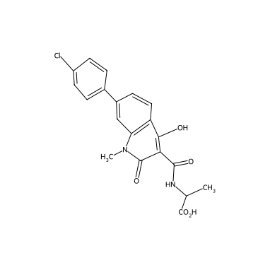 CC(NC(=O)c1c(O)c2ccc(-c3ccc(Cl)cc3)cc2n(C)c1=O)C(=O)O